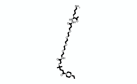 CCN1CCN(C(=O)CCC(C)(C)SCC(=O)NCCOCCOCCOCCOCCC(=O)NN[C@@H](CCCCN)C(C)=O)CC1